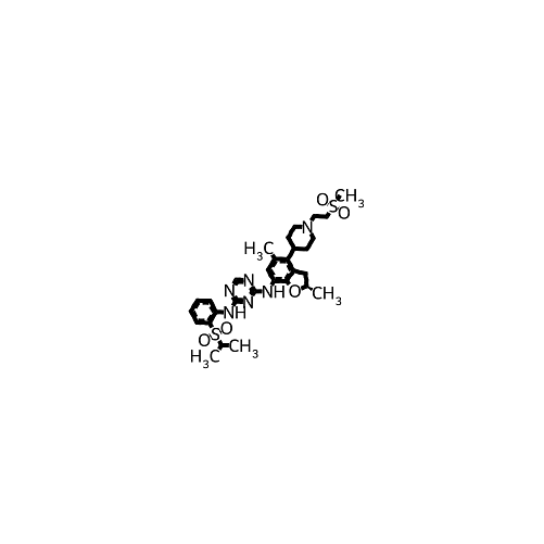 Cc1cc(Nc2ncnc(Nc3ccccc3S(=O)(=O)C(C)C)n2)c2c(c1C1CCN(CCS(C)(=O)=O)CC1)C[C@@H](C)O2